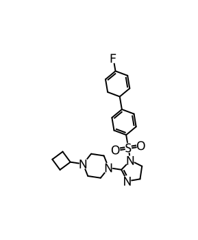 O=S(=O)(c1ccc(C2C=CC(F)=CC2)cc1)N1CCN=C1N1CCN(C2CCC2)CC1